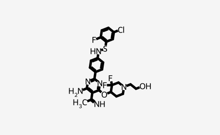 CC(=N)c1c(N)nc(-c2ccc(NSc3cc(Cl)ccc3F)cc2)nc1OC1CCN(CCO)CC1(F)F